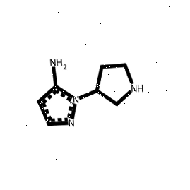 Nc1ccnn1C1CCNC1